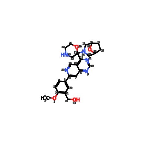 COc1ccc(-c2cc3ncnc(C4(N5CC6CCC(C5)O6)CNCCO4)c3cn2)cc1CO